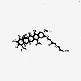 COCCOCC(=O)OCOC(=O)N(Cc1cc(N(C)C)c2c(c1O)C(=O)C1=C(O)[C@]3(O)C(=O)C(C(C)=O)=C(O)[C@@H](N(C)C)[C@@H]3C[C@@H]1C2)CC(C)(C)C